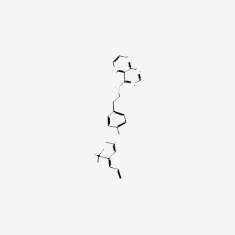 C=C/C=C(\C=C(/C)Oc1ccc(CCNc2ncnc3nccnc23)cc1)C(C)(C)C